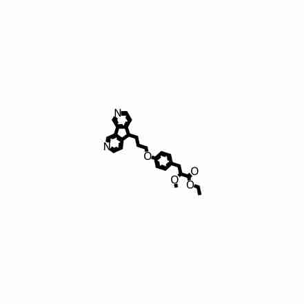 CCOC(=O)C(Cc1ccc(OCCCC2c3ccncc3-c3cnccc32)cc1)OC